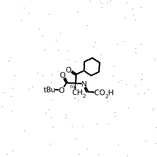 [CH2][C@@](N=CC(=O)O)(C(=O)OC(C)(C)C)C(=O)C1CCCCC1